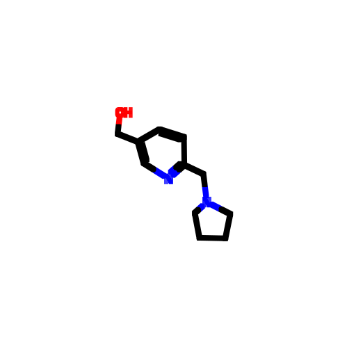 OCc1ccc(CN2CCCC2)nc1